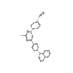 Cc1nc(-c2ccc(C#N)cc2)cc(-c2ccc(-c3cccc4ccccc34)cc2)n1